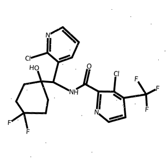 O=C(NC(c1cccnc1Cl)C1(O)CCC(F)(F)CC1)c1nccc(C(F)(F)F)c1Cl